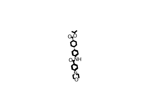 CC(C)OC(=O)[C@H]1CC[C@H](c2ccc(NC(=O)c3ccc(N4CCOCC4)cc3)cc2)CC1